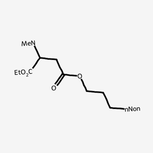 CCCCCCCCCCCCOC(=O)CC(NC)C(=O)OCC